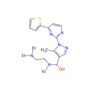 CCN(CC)CCN(CC)C(O)c1cnn(-c2nccc(-c3cccs3)n2)c1C